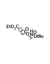 CCOC(=O)C1Cc2ccc(OCC3(NC(=O)OC(C)(C)C)CC3)c(Cl)c2C1